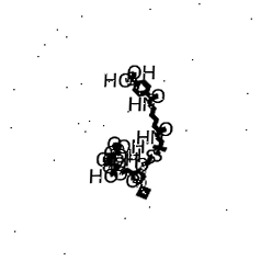 CC(C)(CNC(=O)CCCCNC(=O)c1ccc(B(O)O)cc1)SSCO[C@@H]1C[C@H](C2CCC2)OC1COP(=O)(O)OP(=O)(O)OP(=O)(O)O